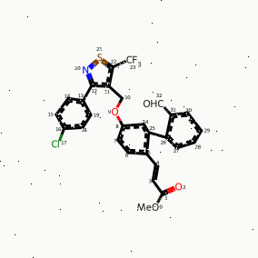 COC(=O)/C=C/c1ccc(OCc2c(-c3ccc(Cl)cc3)nsc2C(F)(F)F)cc1-c1ccccc1C=O